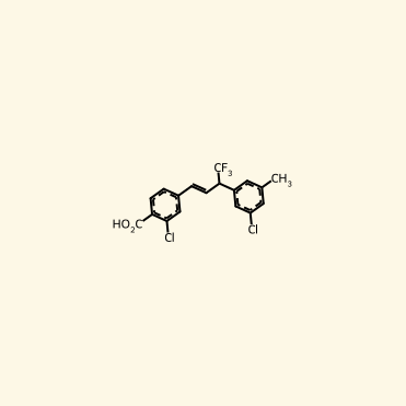 Cc1cc(Cl)cc(C(/C=C/c2ccc(C(=O)O)c(Cl)c2)C(F)(F)F)c1